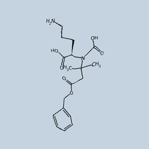 CC(C)(CC(=O)OCc1ccccc1)N(C(=O)O)[C@H](CCCN)C(=O)O